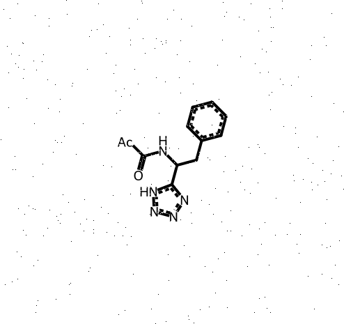 CC(=O)C(=O)NC(Cc1ccccc1)c1nnn[nH]1